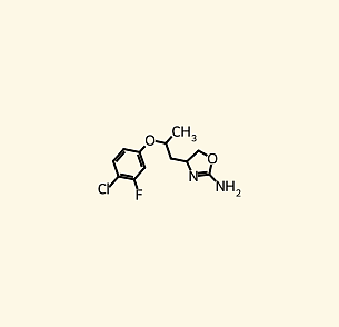 CC(CC1COC(N)=N1)Oc1ccc(Cl)c(F)c1